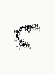 CC(C)(C)OC(=O)NC/C=C\OBO/C=C\CNC(=O)OC(C)(C)C